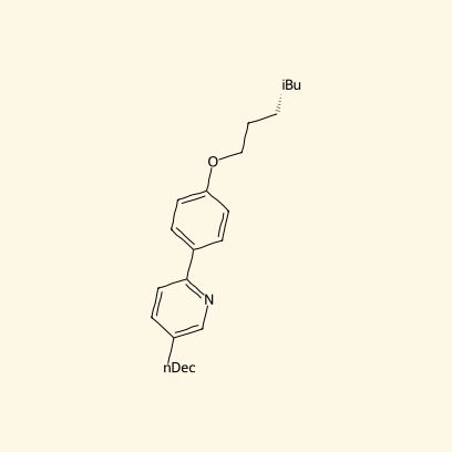 CCCCCCCCCCc1ccc(-c2ccc(OCCC[C@@H](C)CC)cc2)nc1